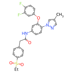 CCS(=O)(=O)c1ccc(CC(=O)Nc2ccc(-n3cc(C)cn3)c(Oc3ccc(F)c(F)c3)c2)cc1